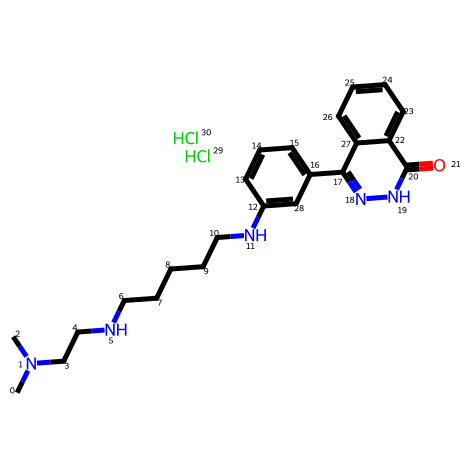 CN(C)CCNCCCCCNc1cccc(-c2n[nH]c(=O)c3ccccc23)c1.Cl.Cl